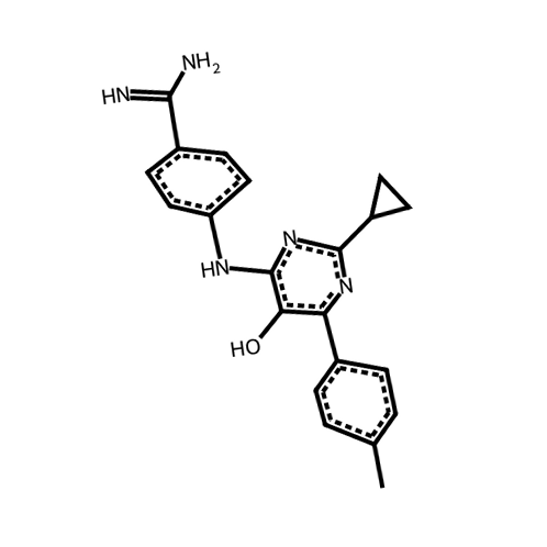 Cc1ccc(-c2nc(C3CC3)nc(Nc3ccc(C(=N)N)cc3)c2O)cc1